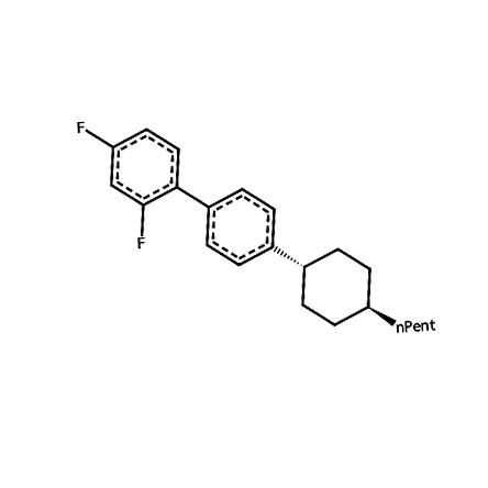 CCCCC[C@H]1CC[C@H](c2ccc(-c3ccc(F)cc3F)cc2)CC1